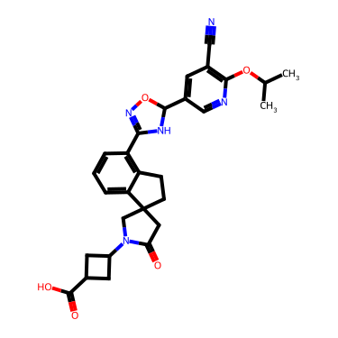 CC(C)Oc1ncc(C2NC(c3cccc4c3CCC43CC(=O)N(C4CC(C(=O)O)C4)C3)=NO2)cc1C#N